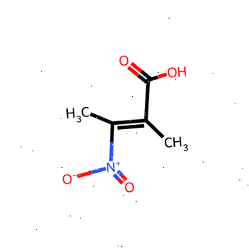 C/C(C(=O)O)=C(/C)[N+](=O)[O-]